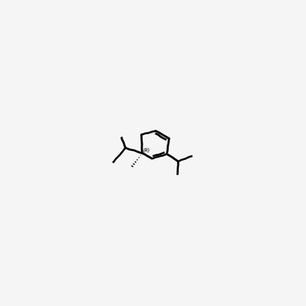 CC(C)C1=C[C@@](C)(C(C)C)CC=C1